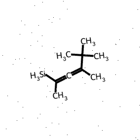 CC([SiH3])=C=C(C)C(C)(C)C